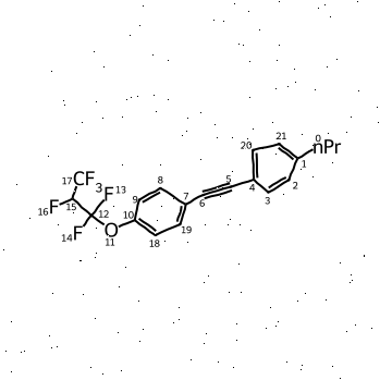 CCCc1ccc(C#Cc2ccc(OC(F)(F)C(F)C(F)(F)F)cc2)cc1